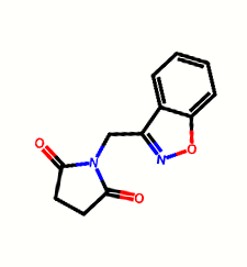 O=C1CCC(=O)N1Cc1noc2ccccc12